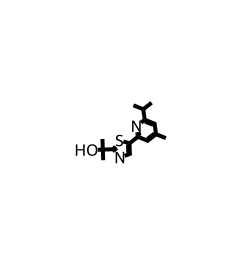 Cc1cc(-c2cnc(C(C)(C)O)s2)nc(C(C)C)c1